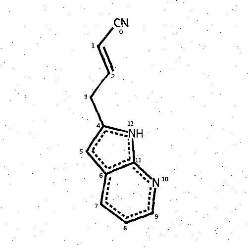 N#CC=CCc1cc2cccnc2[nH]1